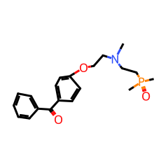 CN(CCOc1ccc(C(=O)c2ccccc2)cc1)CCP(C)(C)=O